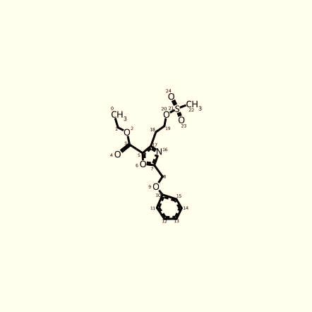 CCOC(=O)c1oc(COc2ccccc2)nc1CCOS(C)(=O)=O